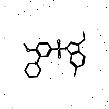 CCc1cn(S(=O)(=O)c2ccc(OC)c(N3CCCCC3)c2)c2cc(F)ccc12